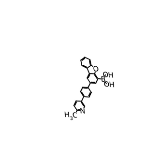 Cc1ccc(-c2ccc(-c3cc(B(O)O)c4oc5ccccc5c4c3)cc2)cn1